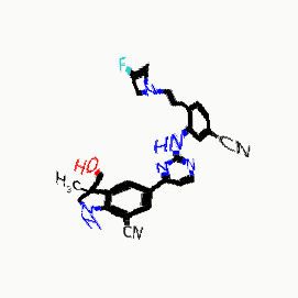 C[C@]1(CO)CNc2c(C#N)cc(-c3ccnc(Nc4cc(C#N)ccc4CCN4CC(F)C4)n3)cc21